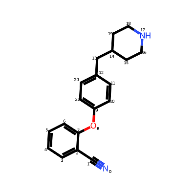 N#Cc1ccccc1Oc1ccc(CC2CCNCC2)cc1